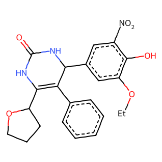 CCOc1cc(C2NC(=O)NC(C3CCCO3)=C2c2ccccc2)cc([N+](=O)[O-])c1O